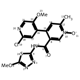 COc1nnc(NC(=O)c2c[n+]([O-])c(C)cc2-c2cc(Cl)ncc2OC)s1